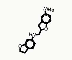 CNc1ccc2c(c1)CC(CNc1ccc3c(c1)OCC3)O2